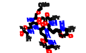 [2H]C(=O)C(NC(=O)CCC(NC(=O)COCCOC)C(=O)NC(CCC(=O)NC(C([2H])=O)C(C)C)C(=O)NC(CCC(=O)NC(C([2H])=O)C(C)C)C(=O)NC(C([2H])=O)C(C)C)C(C)C